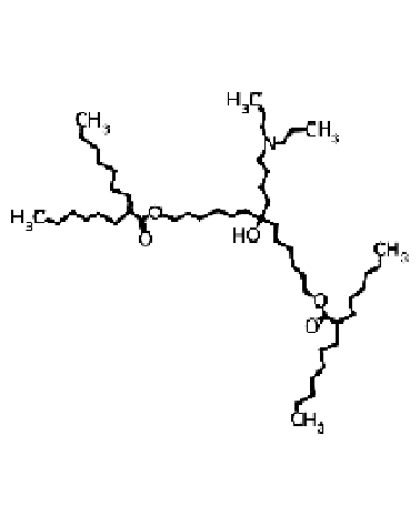 CCCCCCCC(CCCCCC)C(=O)OCCCCCCC(O)(CCCCCCOC(=O)C(CCCCCC)CCCCCCC)CCCCN(CCC)CCC